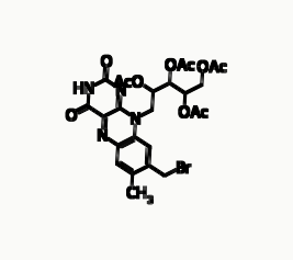 CC(=O)OCC(OC(C)=O)C(OC(C)=O)C(Cn1c2nc(=O)[nH]c(=O)c-2nc2cc(C)c(CBr)cc21)OC(C)=O